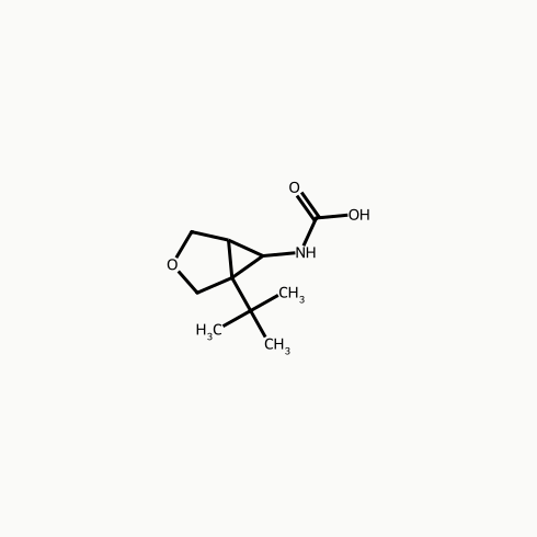 CC(C)(C)C12COCC1C2NC(=O)O